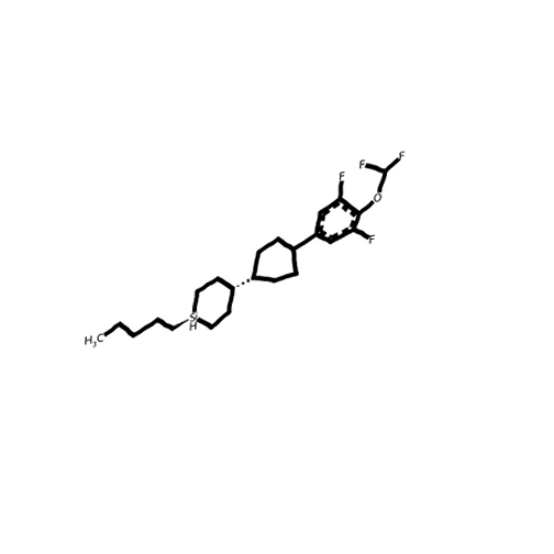 CCCCC[Si@H]1CC[C@H](C2CCC(c3cc(F)c(OC(F)F)c(F)c3)CC2)CC1